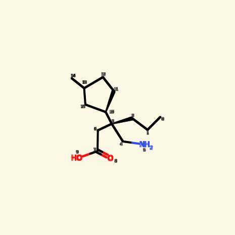 CCC[C@@](CN)(CC(=O)O)[C@@H]1CCC(C)C1